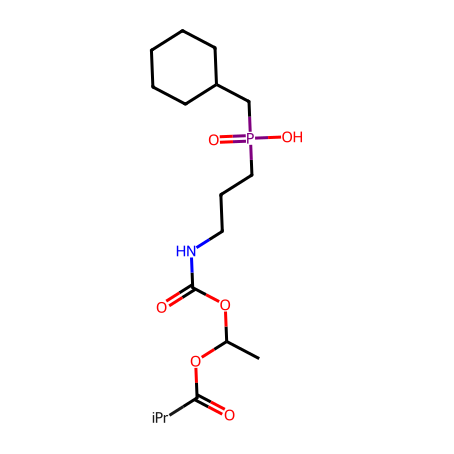 CC(OC(=O)NCCCP(=O)(O)CC1CCCCC1)OC(=O)C(C)C